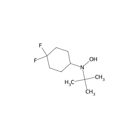 CC(C)(C)N(O)C1CCC(F)(F)CC1